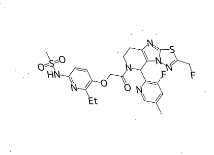 CCc1nc(NS(C)(=O)=O)ccc1OCC(=O)N1CCc2nc3sc(CF)nn3c2C1c1ncc(C)cc1F